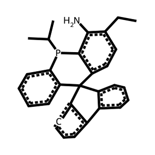 CCc1ccc2c(c1N)P(C(C)C)c1ccccc1C21c2ccccc2-c2ccccc21